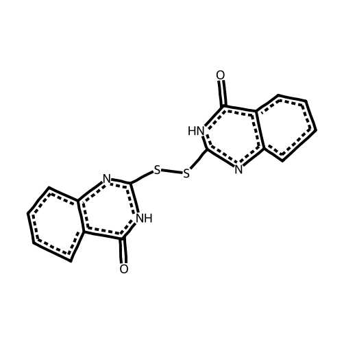 O=c1[nH]c(SSc2nc3ccccc3c(=O)[nH]2)nc2ccccc12